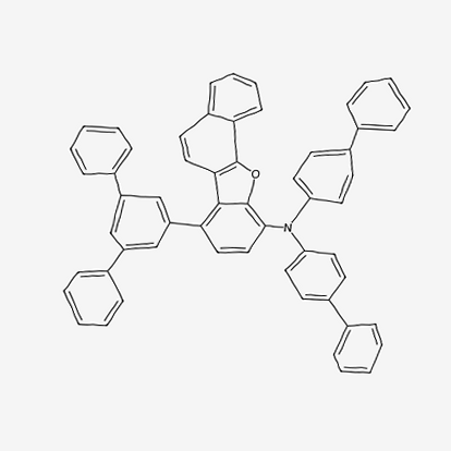 c1ccc(-c2ccc(N(c3ccc(-c4ccccc4)cc3)c3ccc(-c4cc(-c5ccccc5)cc(-c5ccccc5)c4)c4c3oc3c5ccccc5ccc34)cc2)cc1